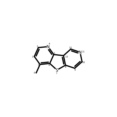 Cc1ccnc2c1sc1ccncc12